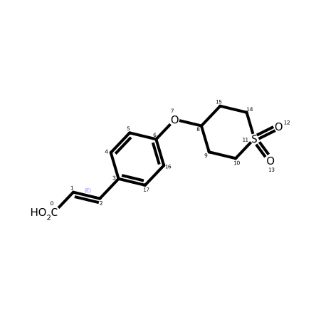 O=C(O)/C=C/c1ccc(OC2CCS(=O)(=O)CC2)cc1